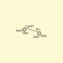 COc1cc2c(cc1OC)C(CCCCCC1c3cc(OC)c(OC)cc3CCN1C)N(C)CC2.Cl